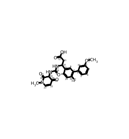 COc1cccc(-c2cc(C(CC(=O)O)NC(=O)NC3C(=O)C=CN(C)C3=O)ccc2F)c1